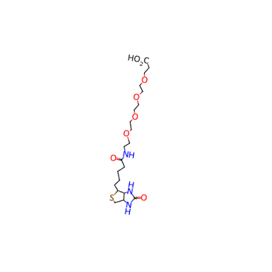 O=C(O)CCOCCOCCOCCOCCNC(=O)CCCCC1SCC2NC(=O)NC21